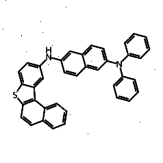 c1ccc(N(c2ccccc2)c2ccc3cc(Nc4ccc5sc6ccc7ccccc7c6c5c4)ccc3c2)cc1